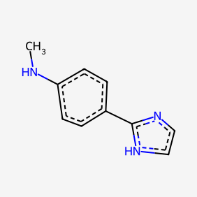 CNc1ccc(-c2ncc[nH]2)cc1